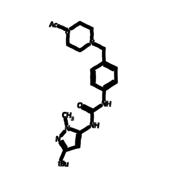 CC(=O)N1CCN(Cc2ccc(NC(=O)Nc3cc(C(C)(C)C)nn3C)cc2)CC1